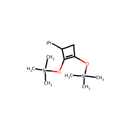 CC(C)C1CC(O[Si](C)(C)C)=C1O[Si](C)(C)C